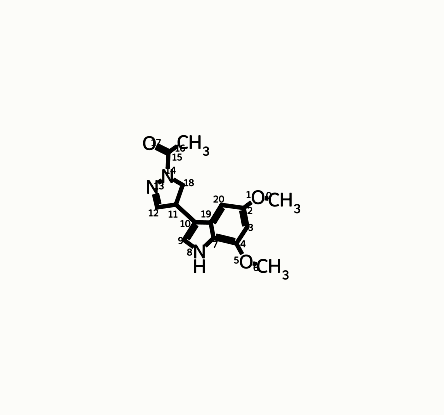 COc1cc(OC)c2[nH]cc(C3C=NN(C(C)=O)C3)c2c1